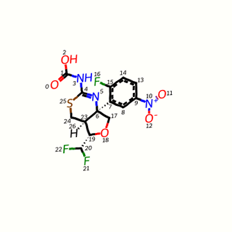 O=C(O)NC1=N[C@@]2(c3cc([N+](=O)[O-])ccc3F)CO[C@H](C(F)F)[C@H]2CS1